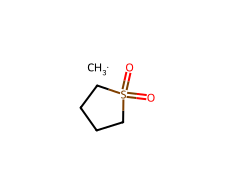 O=S1(=O)CCCC1.[CH3]